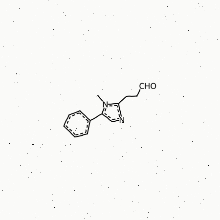 Cn1c(-c2ccccc2)cnc1CCC=O